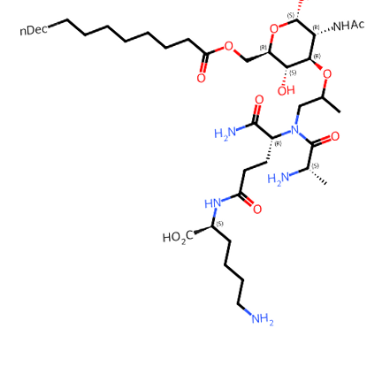 CCCCCCCCCCCCCCCCCC(=O)OC[C@H]1O[C@H](O)[C@H](NC(C)=O)[C@@H](OC(C)CN(C(=O)[C@H](C)N)[C@H](CCC(=O)N[C@@H](CCCCN)C(=O)O)C(N)=O)[C@@H]1O